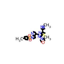 Cc1ccc(S(=O)(=O)n2ccc3c(-c4nc(N5CCOC[C@H]5C)c5scc(-c6cnn(C)c6)c5n4)ccnc32)cc1